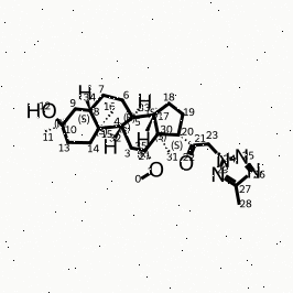 CO[C@@H]1C[C@H]2[C@@H](CC[C@H]3C[C@](C)(O)CC[C@@]32C)[C@@H]2CC[C@H](C(=O)Cn3nnc(C)n3)[C@@]12C